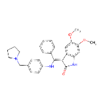 COc1cc2c(cc1OC)/C(=C(/Nc1ccc(CN3CCCC3)cc1)c1ccccc1)C(=O)N2